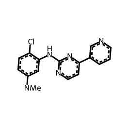 CNc1ccc(Cl)c(Nc2nccc(-c3cccnc3)n2)c1